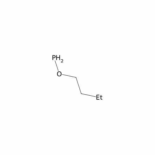 [CH2]CCCOP